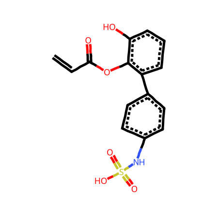 C=CC(=O)Oc1c(O)cccc1-c1ccc(NS(=O)(=O)O)cc1